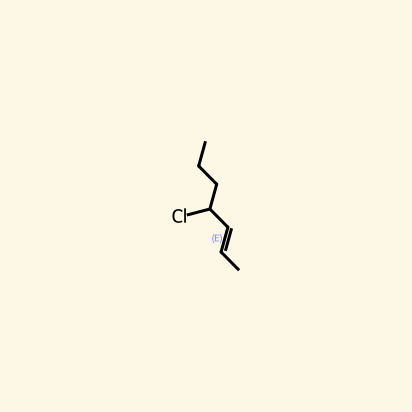 C/C=C/C(Cl)CCC